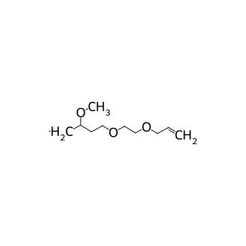 [CH2]C(CCOCCOCC=C)OC